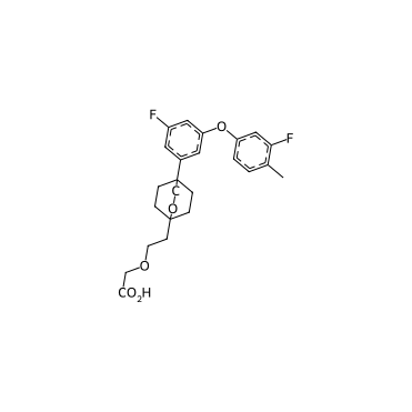 Cc1ccc(Oc2cc(F)cc(C34CCC(CCOCC(=O)O)(CC3)OC4)c2)cc1F